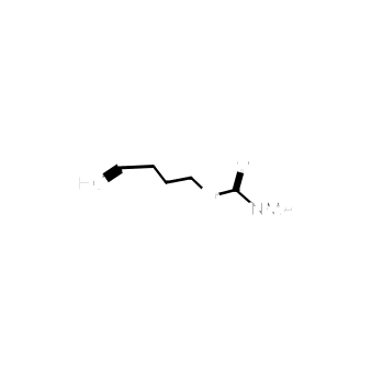 C#CCCCOC(=O)NC